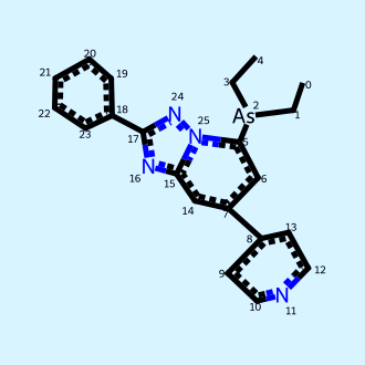 CC[As](CC)c1cc(-c2ccncc2)cc2nc(-c3ccccc3)nn12